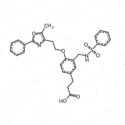 Cc1oc(-c2ccccc2)nc1CCOc1ccc(CCC(=O)O)cc1CNS(=O)(=O)c1ccccc1